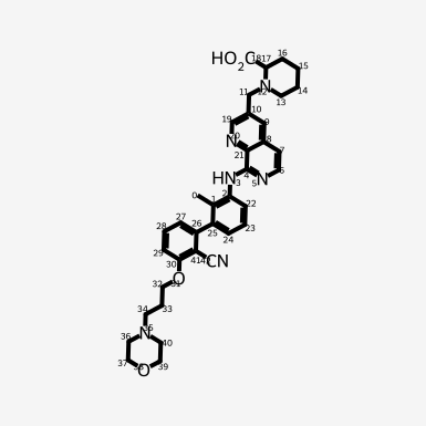 Cc1c(Nc2nccc3cc(CN4CCCCC4C(=O)O)cnc23)cccc1-c1cccc(OCCCN2CCOCC2)c1C#N